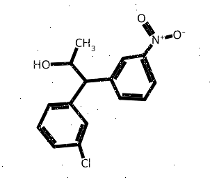 CC(O)C(c1cccc(Cl)c1)c1cccc([N+](=O)[O-])c1